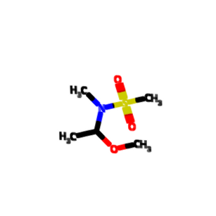 COC(C)N(C)S(C)(=O)=O